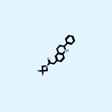 O=C(Cc1ccc2c(c1)CCC(c1ccccc1)N2)N1CC(F)(F)C1